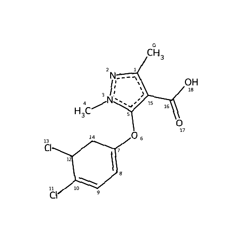 Cc1nn(C)c(OC2=CC=C(Cl)C(Cl)C2)c1C(=O)O